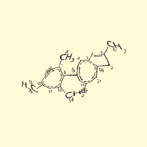 CC1=Cc2cc(-c3c(C)cc(C)cc3C)c(Br)cc2C1